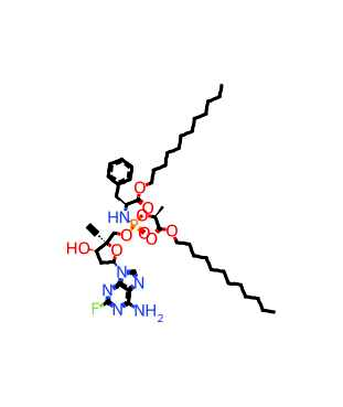 C#C[C@]1(CO[P@@](=O)(N[C@@H](Cc2ccccc2)C(=O)OCCCCCCCCCCCC)O[C@@H](C)C(=O)OCCCCCCCCCCCC)O[C@@H](n2cnc3c(N)nc(F)nc32)C[C@@H]1O